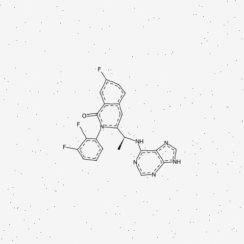 C[C@H](Nc1ncnc2[nH]cnc12)c1cc2ccc(F)cc2c(=O)n1-c1cccc(F)c1F